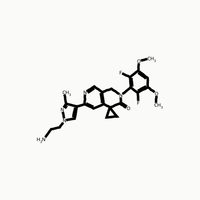 COc1cc(OC)c(F)c(N2Cc3cnc(-c4cn(CCN)nc4C)cc3C3(CC3)C2=O)c1F